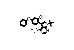 CC(C)(C)n1cc(-c2ccc(Oc3ccccc3)cc2O)c2c(N)ncnc21